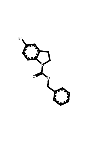 O=C(OCc1ccccc1)N1CCc2cc(Br)ccc21